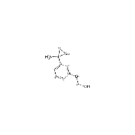 NC1(c2cccc(OCO)c2)CS1